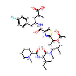 CC[C@H](C)[C@H](NC(=O)C1CCCCN1C)C(=O)N(C)[C@H](CC(OC(C)=O)c1nc(C(=O)NC(Cc2ccc(F)cc2)CC(C)C(=O)O)cs1)C(C)C